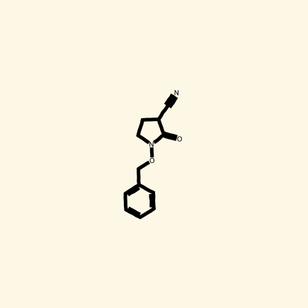 N#CC1CCN(OCc2ccccc2)C1=O